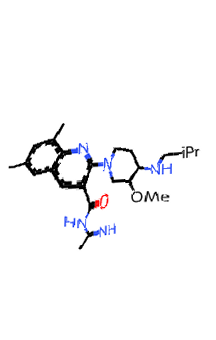 COC1CN(c2nc3c(C)cc(C)cc3cc2C(=O)NC(C)=N)CCC1NCC(C)C